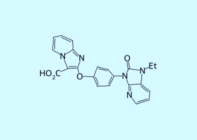 CCn1c(=O)n(-c2ccc(Oc3nc4ccccn4c3C(=O)O)cc2)c2ncccc21